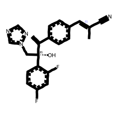 C=C(c1ccc(/C=C(\C)C#N)cc1)[C@](O)(Cn1cncn1)c1ccc(F)cc1F